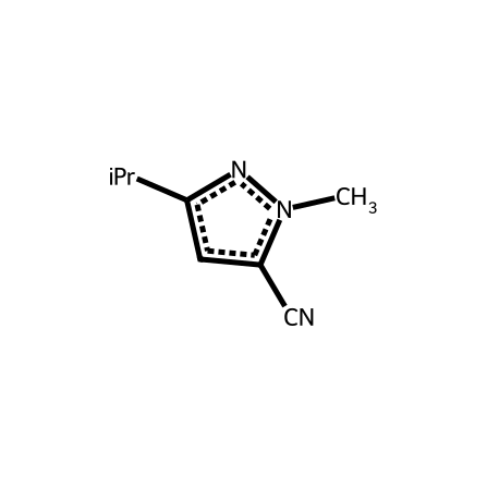 CC(C)c1cc(C#N)n(C)n1